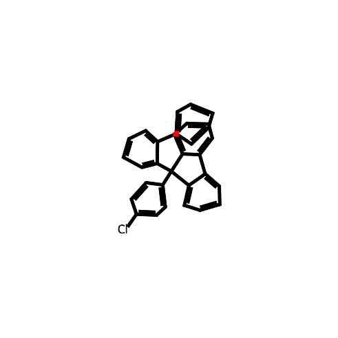 Clc1ccc(C2(c3ccccc3-c3ccccc3)c3ccccc3-c3ccccc32)cc1